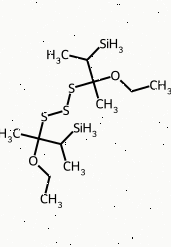 CCOC(C)(SSSC(C)(OCC)C(C)[SiH3])C(C)[SiH3]